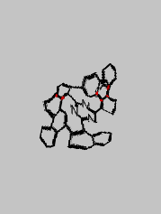 c1ccc(-c2nc(-c3c(-c4cc5ccccc5c5ccccc45)ccc4ccccc34)nc(-c3cccc4c3sc3ccccc34)n2)c(-c2ccc3ccccc3c2)c1